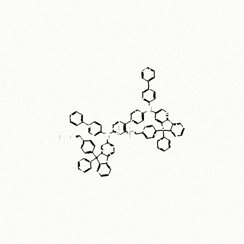 C=Cc1ccc(C2(c3ccccc3)c3ccccc3-c3ccc(N(c4ccc(-c5ccccc5)cc4)c4ccc(-c5ccc(N(c6ccc(-c7ccccc7)cc6)c6ccc7c(c6)C(c6ccccc6)(c6ccc(C=C)cc6)c6ccccc6-7)cc5F)cc4)cc32)cc1